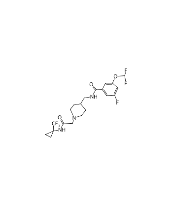 O=C(CN1CCC(CNC(=O)c2cc(F)cc(OC(F)F)c2)CC1)NC1(C(F)(F)F)CC1